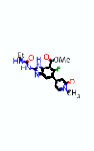 CCNC(=O)Nc1nc2cc(-c3ccn(C)c(=O)c3)c(F)c(C(=O)OC)c2[nH]1